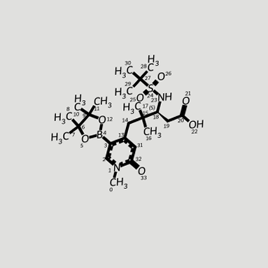 Cn1cc(B2OC(C)(C)C(C)(C)O2)c(CC(C)(C)[C@H](CC(=O)O)NS(=O)(=O)C(C)(C)C)cc1=O